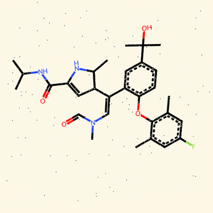 Cc1cc(F)cc(C)c1Oc1ccc(C(C)(C)O)cc1/C(=C/N(C)C=O)C1C=C(C(=O)NC(C)C)NC1C